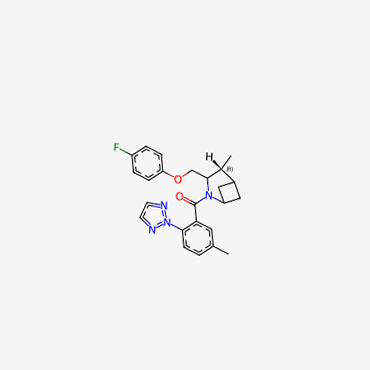 Cc1ccc(-n2nccn2)c(C(=O)N2C3CC(C3)[C@@H](C)C2COc2ccc(F)cc2)c1